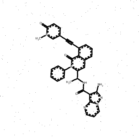 CC(NC(=O)c1c(N)nn2cccnc12)c1cc2cccc(C#Cc3ccc(=O)n(C)c3)c2c(=O)n1-c1ccccc1